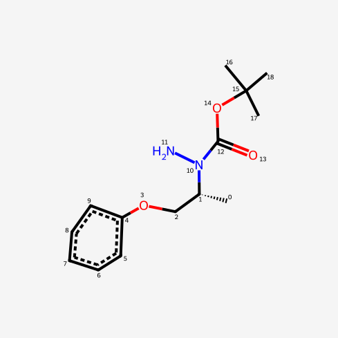 C[C@H](COc1ccccc1)N(N)C(=O)OC(C)(C)C